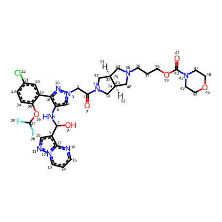 O=C(Cn1cc(NC(O)c2cnn3cccnc23)c(-c2cc(Cl)ccc2OC(F)F)n1)N1C[C@H]2CN(CCCOC(=O)N3CCOCC3)C[C@H]2C1